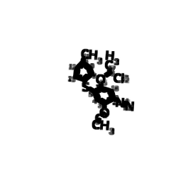 CCOc1cc(Sc2ccc(C)cc2)c(OCC)cc1[N+]#N.[Cl-]